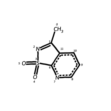 CC1=NS(=O)(=O)c2ncccc21